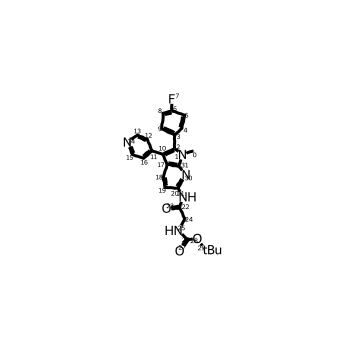 Cn1c(-c2ccc(F)cc2)c(-c2ccncc2)c2ccc(NC(=O)CNC(=O)OC(C)(C)C)nc21